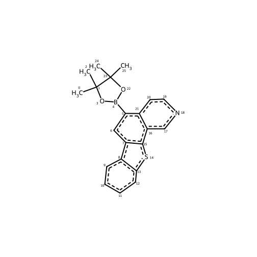 CC1(C)OB(c2cc3c4ccccc4sc3c3cnccc23)OC1(C)C